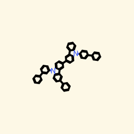 c1ccc(-c2ccc(-n3c4ccccc4c4cc(-c5ccc6c(c5)c5cc(-c7ccccc7)ccc5n6-c5cccc(-c6ccccc6)c5)ccc43)cc2)cc1